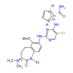 CCN1C(=O)[C@@H](N(C)C)CCc2c1ccc(Nc1ncc(Cl)c(N[C@H]3[C@@H](C(N)=O)[C@@H]4C=C[C@H]3C4)n1)c2OC